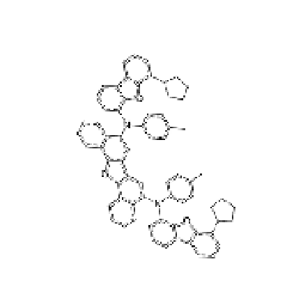 Cc1ccc(N(c2cc3c4cc(N(c5ccc(C)cc5)c5cccc6c5oc5c(C7CCCC7)cccc56)c5ccccc5c4oc3c3ccccc23)c2cccc3c2oc2c(C4CCCC4)cccc23)cc1